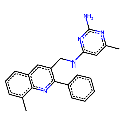 Cc1cc(NCc2cc3cccc(C)c3nc2-c2ccccc2)nc(N)n1